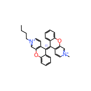 CCCC[n+]1ccc2c(c1)Oc1ccccc1/C2=C1/c2ccccc2Oc2c[n+](C)ccc21